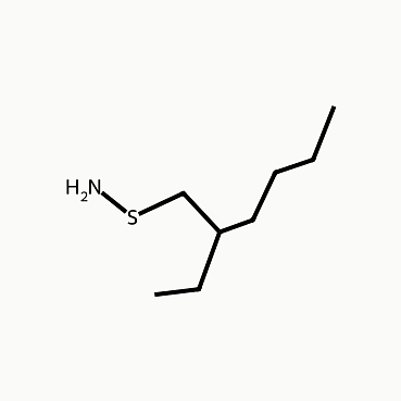 CCCCC(CC)CSN